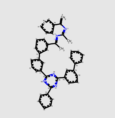 C=C(/N=C(C)\N=C(/C)c1cccc(-c2cccc(-c3nc(-c4ccccc4)nc(-c4cccc(-c5ccccc5)c4)n3)c2)c1)c1ccccc1